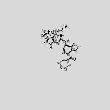 CCNC1(C)NC(Nc2ccc(C(=O)N3CCOCC3)c3c2OCC3)=Nc2[nH]cc(C(F)(F)F)c21